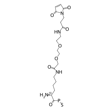 N[C@@H](CCCCNC(=O)COCCOCCNC(=O)CCN1C(=O)C=CC1=O)C(=O)P=S